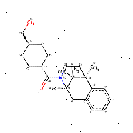 CC1(C)[C@H]2Cc3ccccc3[C@]1(C)CCN2C(=O)[C@H]1CC[C@H](CO)CC1